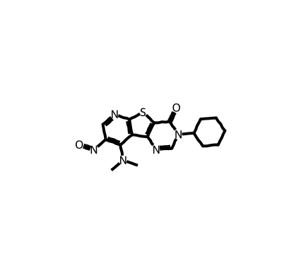 CN(C)c1c(N=O)cnc2sc3c(=O)n(C4CCCCC4)cnc3c12